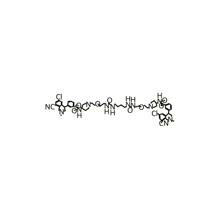 CN1Cc2c(C#N)cc(Cl)cc2C(c2cccc(S(=O)(=O)NC3CCN(CCOCCNC(=O)NCCCCNC(=O)NCCOCCN4CCC(NS(=O)(=O)c5cccc(C6CN(C)Cc7c(C#N)cc(Cl)cc76)c5)CC4)CC3)c2)C1